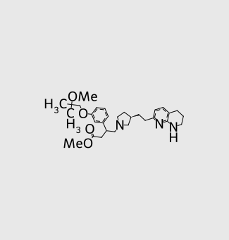 COC(=O)CC(CN1CC[C@@H](CCc2ccc3c(n2)NCCC3)C1)c1cccc(OCC(C)(C)OC)c1